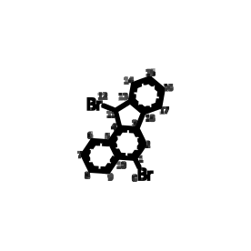 Brc1cc2c(c3ccccc13)C(Br)c1ccccc1-2